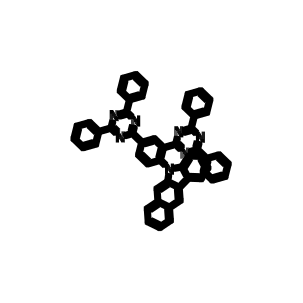 c1ccc(-c2nc(-c3ccccc3)nc(-c3ccc(-n4c5ccccc5c5cc6ccccc6cc54)c(-c4nc(-c5ccccc5)nc(-c5ccccc5)n4)c3)n2)cc1